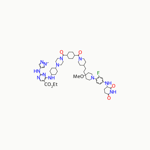 CCOC(=O)c1cnc(Nc2cnn(C)c2)nc1NC1CCC(N2CCN(C(=O)C3CCC(C(=O)N4CCC(CCC5(OC)CCN(c6ccc(NC7CCC(=O)NC7=O)cc6F)CC5)CC4)CC3)CC2)CC1